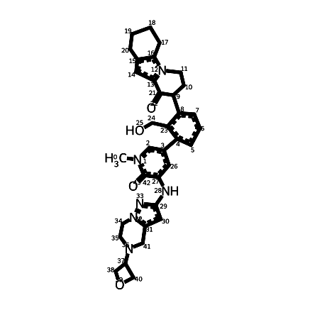 Cn1cc(-c2cccc(C3CCn4c(cc5c4CCCC5)C3=O)c2CO)cc(Nc2cc3n(n2)CCN(C2COC2)C3)c1=O